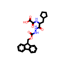 O=C(NNC(=O)C(CC1CCCC1)NC(=O)C(=O)O)OCC1c2ccccc2-c2ccccc21